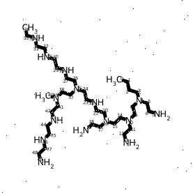 CCCCN(CCN)CCN(CCN)CCN(CCN)CCNCCN(CCNCCNCCNCC)CCN(C)CCNCCNCCN